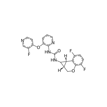 O=C(Nc1ncccc1Oc1ccncc1F)NC1[C@H]2COc3c(F)ccc(F)c3[C@@H]12